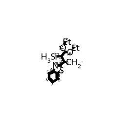 [CH2]C(c1nc2ccccc2s1)C([SiH3])C(OCC)OCC